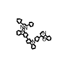 c1ccc(-c2cc(-c3ccccc3)nc(-n3c4ccccc4c4cc(-c5ccc6c7ccccc7n(-c7ccc(-c8ccnc9c8oc8ccccc89)cc7)c6c5)ccc43)n2)cc1